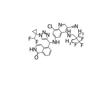 CC(C)(CNc1c(C#N)cnc2c(Cl)cc(NC(c3cn(C4(C(F)F)CC4)nn3)c3cccc4c(=O)[nH]ccc34)cc12)C(F)(F)F